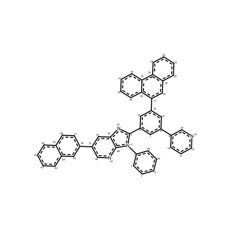 c1ccc(-n2c(-c3cc(-c4cccnc4)cc(-c4cc5ccccc5c5ccccc45)c3)nc3cc(-c4ccc5ccccc5c4)cnc32)cc1